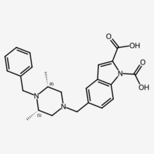 C[C@@H]1CN(Cc2ccc3c(c2)cc(C(=O)O)n3C(=O)O)C[C@H](C)N1Cc1ccccc1